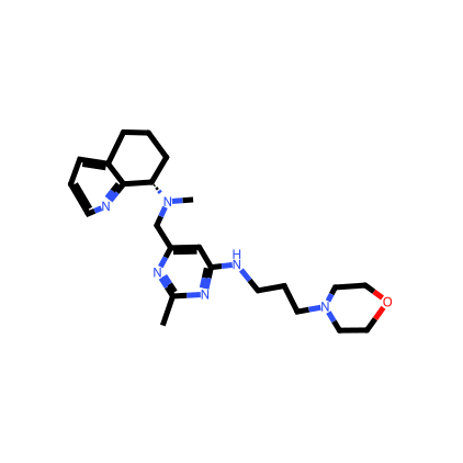 Cc1nc(CN(C)[C@H]2CCCc3cccnc32)cc(NCCCN2CCOCC2)n1